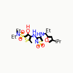 CC[C@@H](NC1=CS(=O)(=O)N=C1Nc1c(C)sc(S(=O)(=O)N(CC)CC)c1O)c1cc(C(C)C)co1